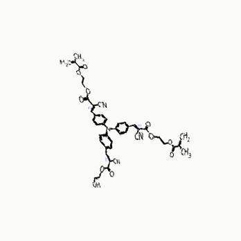 C=C(C)C(=O)OCCOC(=O)/C(C#N)=C/c1ccc(N(c2ccc(/C=C(\C#N)C(=O)OCCO)cc2)c2ccc(/C=C(\C#N)C(=O)OCCOC(=O)C(=C)C)cc2)cc1